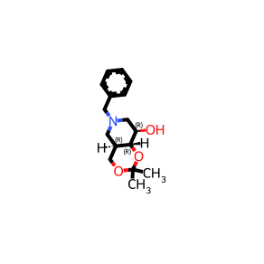 CC1(C)OC[C@H]2CN(Cc3ccccc3)C[C@@H](O)[C@@H]2O1